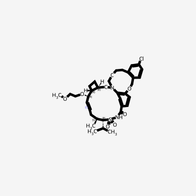 COCCO[C@H]1/C=C/C[C@H](C)[C@@H](C(C)C)S(=O)(=O)NC(=O)c2ccc3c(c2)N(CCCCc2cc(Cl)ccc2CO3)C[C@@H]2CC[C@H]21